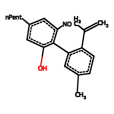 C=C(C)c1ccc(C)cc1-c1c(O)cc(CCCCC)cc1N=O